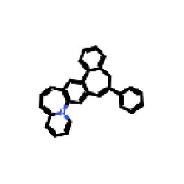 C1=CC2=CC=Cc3cc4c(cc3N2C=C1)C=C(c1ccccc1)Cc1ccccc1-4